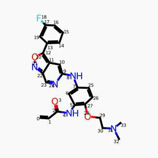 C=CC(=O)Nc1cc(Nc2cc3c(-c4cccc(F)c4)onc3cn2)ccc1OCCN(C)C